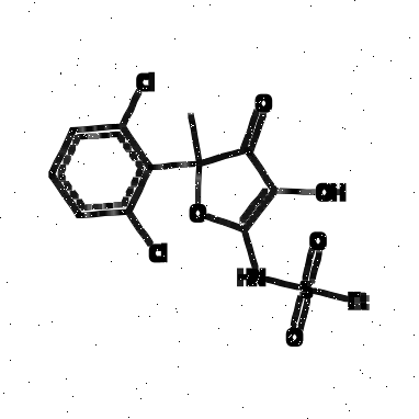 CCS(=O)(=O)NC1=C(O)C(=O)C(C)(c2c(Cl)cccc2Cl)O1